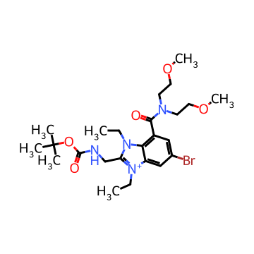 CCn1c(CNC(=O)OC(C)(C)C)[n+](CC)c2cc(Br)cc(C(=O)N(CCOC)CCOC)c21